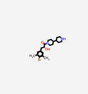 Cc1cc(C[C@@H](O)C(=O)N2CCC(C3CCNCC3)CC2)cc(C)c1Br